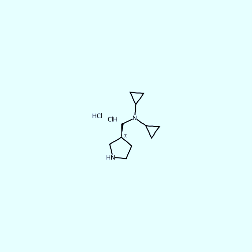 C1C[C@H](CN(C2CC2)C2CC2)CN1.Cl.Cl